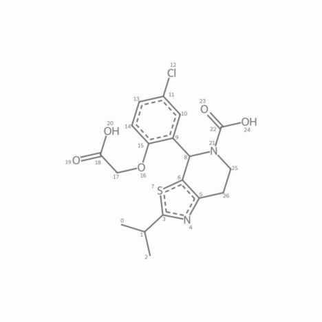 CC(C)c1nc2c(s1)C(c1cc(Cl)ccc1OCC(=O)O)N(C(=O)O)CC2